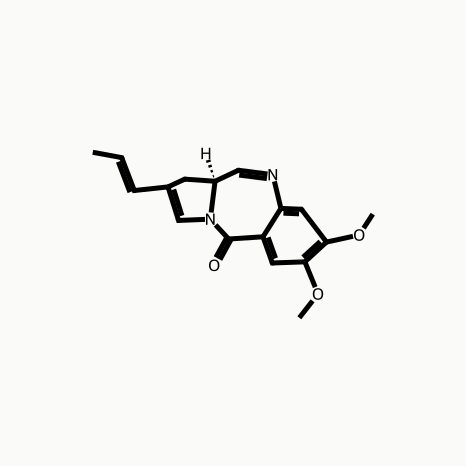 C/C=C/C1=CN2C(=O)c3cc(OC)c(OC)cc3N=C[C@@H]2C1